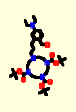 CCN(CC)c1ccc(C=O)c(CCCN2CCN(C(=O)OC(C)(C)C)CCN(C(=O)OC(C)(C)C)CCN(C(=O)OC(C)(C)C)CC2)c1